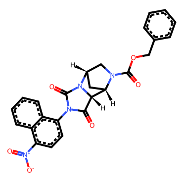 O=C1[C@H]2[C@@H]3C[C@@H](CN3C(=O)OCc3ccccc3)N2C(=O)N1c1ccc([N+](=O)[O-])c2ccccc12